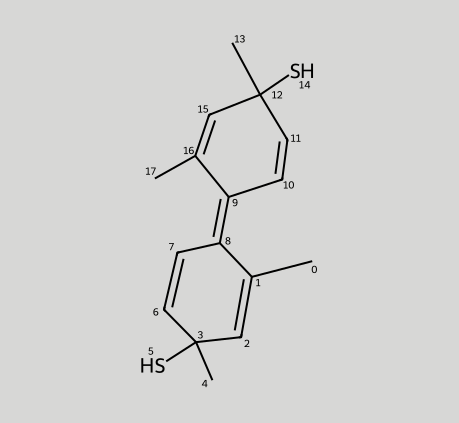 CC1=CC(C)(S)C=C/C1=C1/C=CC(C)(S)C=C1C